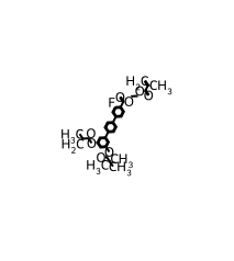 C=C(C)C(=O)OCCOC(=O)c1ccc(-c2ccc(-c3cc(OC(=O)C(=C)C)cc(OC(=O)C(C)(C)C)c3)cc2)cc1F